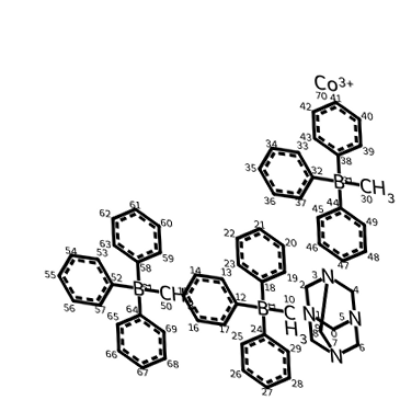 C1N2CN3CN1CN(C2)C3.C[B-](c1ccccc1)(c1ccccc1)c1ccccc1.C[B-](c1ccccc1)(c1ccccc1)c1ccccc1.C[B-](c1ccccc1)(c1ccccc1)c1ccccc1.[Co+3]